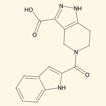 O=C(O)c1n[nH]c2c1CN(C(=O)c1cc3ccccc3[nH]1)CC2